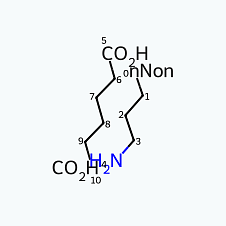 CCCCCCCCCCCCN.O=C(O)CCCCC(=O)O